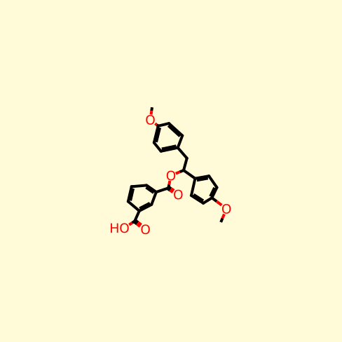 COc1ccc(CC(OC(=O)c2cccc(C(=O)O)c2)c2ccc(OC)cc2)cc1